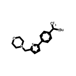 CC(C)(C)C(c1ccc(-c2ccc(CN3CCOCC3)s2)cc1)C(F)(F)F